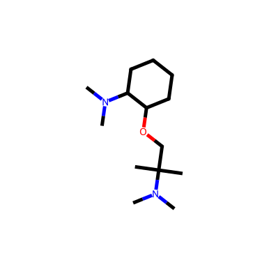 CN(C)C1CCCCC1OCC(C)(C)N(C)C